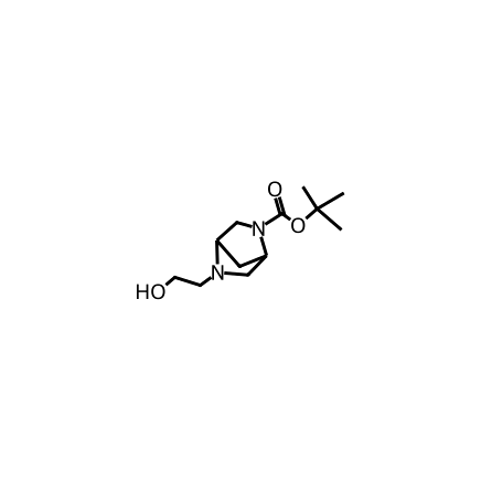 CC(C)(C)OC(=O)N1CC2CC1CN2CCO